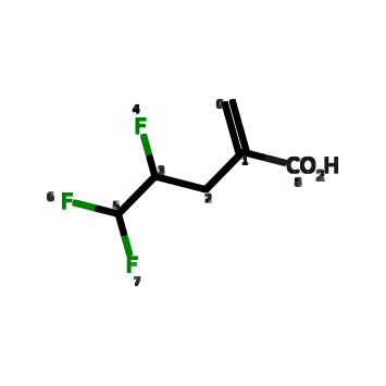 C=C(CC(F)C(F)F)C(=O)O